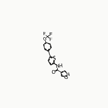 O=C(Nc1ccc(-c2ccc(OC(F)(F)F)cc2)s1)c1cnoc1